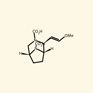 COC=C[C@H]1[C@@H]2CC[C@H](CN1C(=O)O)N2C(=O)O